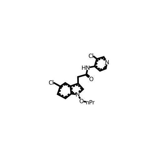 CCCOn1cc(CC(=O)Nc2ccncc2Cl)c2cc(Cl)ccc21